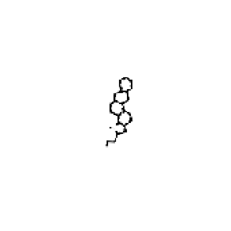 CCCc1cc2ccc3c4cc5ccccc5cc4ccc3c2n1C